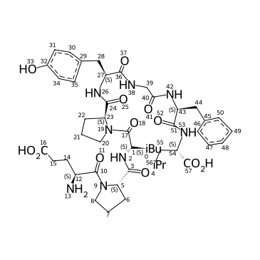 CC[C@H](C)[C@H](NC(=O)[C@@H]1CCCN1C(=O)[C@@H](N)CCC(=O)O)C(=O)N1CCC[C@H]1C(=O)N[C@@H](Cc1ccc(O)cc1)C(=O)NCC(=O)N[C@@H](Cc1ccccc1)C(=O)N[C@@H](CC(C)C)C(=O)O